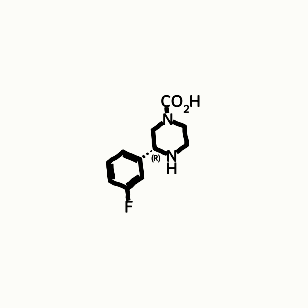 O=C(O)N1CCN[C@H](c2cccc(F)c2)C1